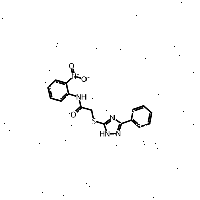 O=C(CSc1nc(-c2ccccc2)n[nH]1)Nc1ccccc1[N+](=O)[O-]